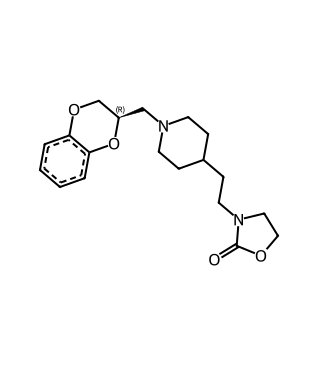 O=C1OCCN1CCC1CCN(C[C@@H]2COc3ccccc3O2)CC1